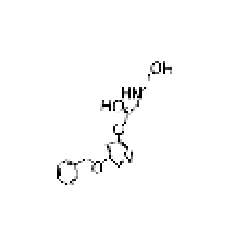 OCCNC[C@@H](O)COc1cncc(OCc2ccccc2)c1